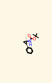 CC(C)(C)OC(=O)N[C@]1(C)C[C@@H]1c1ccccc1